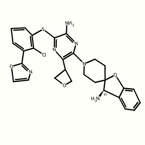 Nc1nc(N2CCC3(CC2)Oc2ccccc2[C@H]3N)c(C2COC2)nc1Sc1cccc(-c2ncco2)c1Cl